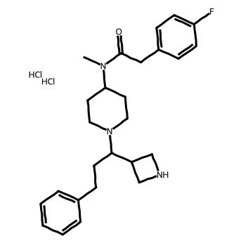 CN(C(=O)Cc1ccc(F)cc1)C1CCN(C(CCc2ccccc2)C2CNC2)CC1.Cl.Cl